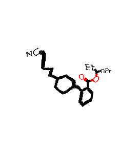 CCCC(CC)OC(=O)c1ccccc1C1CCC(CC/C=C/C#N)CC1